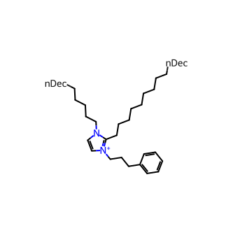 CCCCCCCCCCCCCCCCCCCc1n(CCCCCCCCCCCCCCC)cc[n+]1CCCc1ccccc1